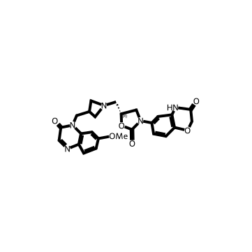 COc1ccc2ncc(=O)n(CC3CN(C[C@@H]4CN(c5ccc6c(c5)NC(=O)CO6)C(=O)O4)C3)c2c1